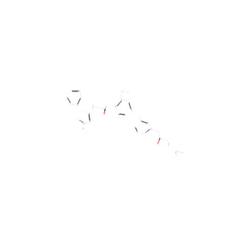 CSc1cc(Oc2ccnc(NC(=O)CO[Si](C)(C)C(C)(C)C)c2)ccc1NC(=O)Nc1cc(C(C)(C)C)nn1-c1ccccc1